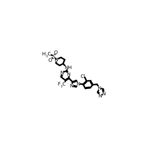 CS(=O)(=O)N1CCC(Nc2ncc(C(F)(F)F)c(-c3cn(-c4ccc(Cn5cnnc5)cc4Cl)cn3)n2)CC1